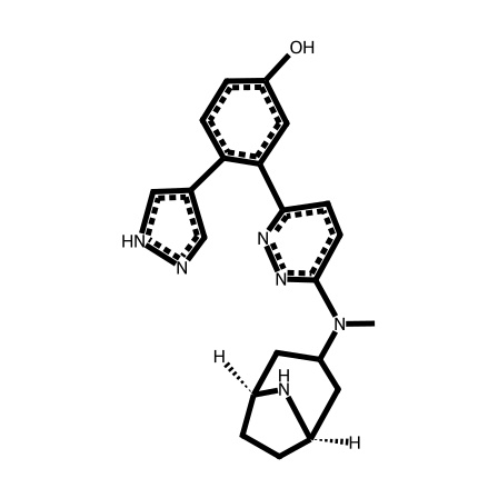 CN(c1ccc(-c2cc(O)ccc2-c2cn[nH]c2)nn1)C1C[C@H]2CC[C@@H](C1)N2